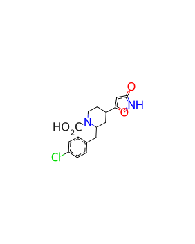 O=C(O)N1CCC(c2cc(=O)[nH]o2)CC1Cc1ccc(Cl)cc1